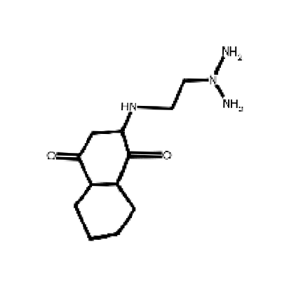 NN(N)CCNC1CC(=O)C2CCCCC2C1=O